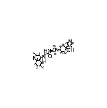 Cc1ccc2nc(C)cc(NCC(=O)NC3CN(C4CCC(O)(c5cncs5)CC4)C3)c2c1